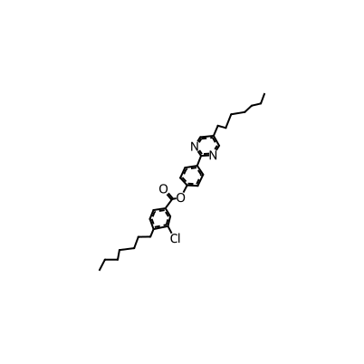 CCCCCCCc1cnc(-c2ccc(OC(=O)c3ccc(CCCCCCC)c(Cl)c3)cc2)nc1